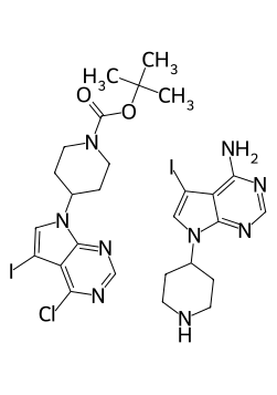 CC(C)(C)OC(=O)N1CCC(n2cc(I)c3c(Cl)ncnc32)CC1.Nc1ncnc2c1c(I)cn2C1CCNCC1